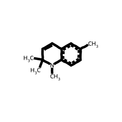 Cc1ccc2c(c1)C=CC(C)(C)N2C